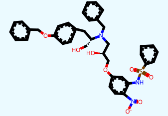 O=[N+]([O-])c1ccc(OC[C@@H](O)CN(Cc2ccccc2)[C@H](CO)Cc2ccc(OCc3ccccc3)cc2)cc1NS(=O)(=O)c1ccccc1